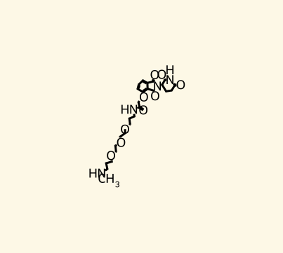 CNCCCOCCOCCOCCCNC(=O)COc1cccc2c1C(=O)N(C1CCC(=O)NC1=O)C2=O